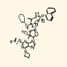 CC(NP(=O)(OC[C@H]1OC(n2cnc3c(N4CCC4)nc(N)nc32)[C@](C)(O)[C@@H]1F)Oc1cccc2ccccc12)C(=O)OC1CCCCC1